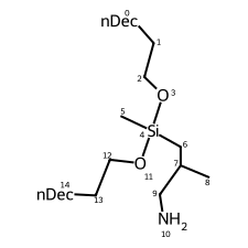 CCCCCCCCCCCCO[Si](C)(CC(C)CN)OCCCCCCCCCCCC